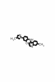 COc1cc(-n2cc(C)cn2)ccc1Nc1ccnc2cc(C)ccc12